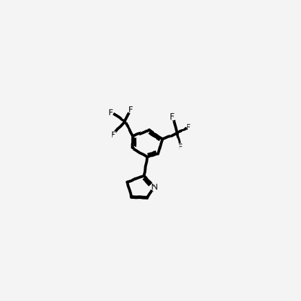 FC(F)(F)c1cc(C2=NCCC2)cc(C(F)(F)F)c1